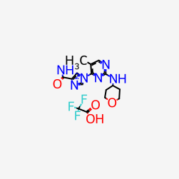 Cc1cnc(NC2CCOCC2)nc1-n1cnc(C(N)=O)c1.O=C(O)C(F)(F)F